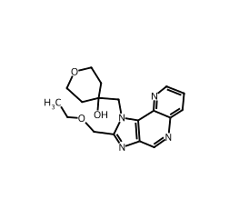 CCOCc1nc2cnc3cccnc3c2n1CC1(O)CCOCC1